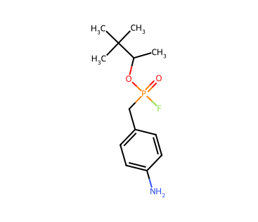 CC(OP(=O)(F)Cc1ccc(N)cc1)C(C)(C)C